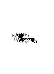 COc1cc(OC)cc(C(C#N)(CCCNCCCc2ccc(Cl)cc2)C(C)C)c1